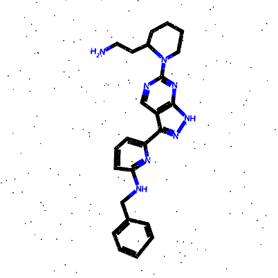 NCCC1CCCCN1c1ncc2c(-c3cccc(NCc4ccccc4)n3)n[nH]c2n1